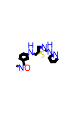 CN(C)C(=O)c1cccc(NCc2cnc(Nc3ccccn3)s2)c1